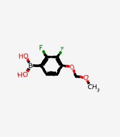 COCOc1ccc(B(O)O)c(F)c1F